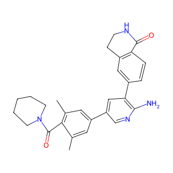 Cc1cc(-c2cnc(N)c(-c3ccc4c(c3)CCNC4=O)c2)cc(C)c1C(=O)N1CCCCC1